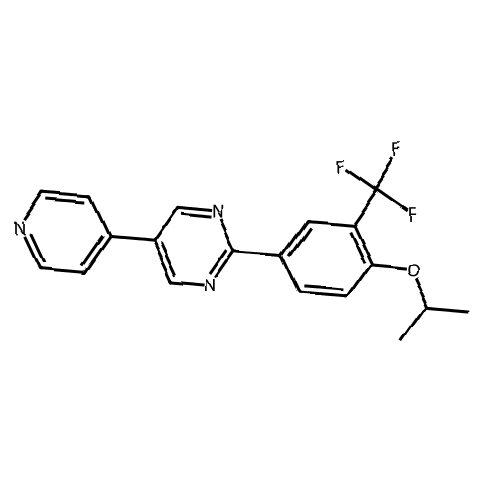 CC(C)Oc1ccc(-c2ncc(-c3ccncc3)cn2)cc1C(F)(F)F